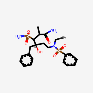 CC(C)CN(CC[C@](O)(Cc1ccccc1)C(C(C)C(N)=O)S(N)(=O)=O)S(=O)(=O)c1ccccc1